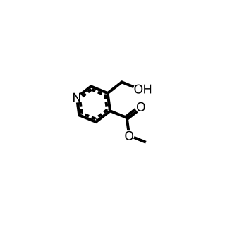 COC(=O)c1ccncc1CO